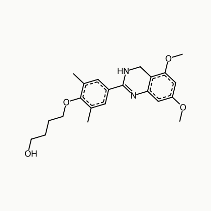 COc1cc2c(c(OC)c1)CNC(c1cc(C)c(OCCCCO)c(C)c1)=N2